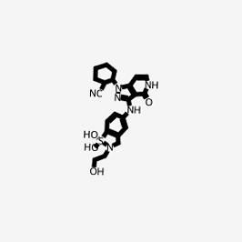 N#CC1CCCCC1n1nc(Nc2ccc3c(c2)CN(CCO)S3(O)O)c2c(=O)[nH]ccc21